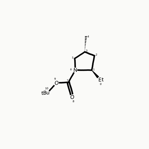 CC[C@@H]1C[C@@H](C)CN1C(=O)OC(C)(C)C